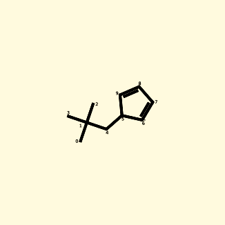 CC(C)(C)CC1[C]=CC=C1